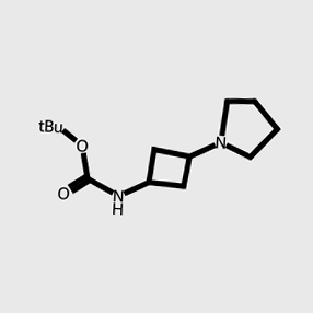 CC(C)(C)OC(=O)NC1CC(N2CCCC2)C1